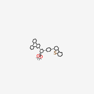 CC1(C)OB(c2cc(-c3ccc(-c4cccc5c4sc4ccccc45)cc3)cc(-c3ccc4c5ccccc5c5ccccc5c4c3)c2)OC1(C)C